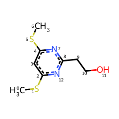 CSc1cc(SC)nc(CCO)n1